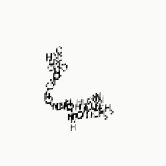 CC1=C(C(=O)Nc2ccc3[nH]nc(-c4ccnc(N5CCN(CC6CCN(CC7CCN(c8ccc9c(c8)C(=O)N(C8CCC(=O)NC8=O)C9=O)CC7)CC6)CC5)c4)c3c2)C(C)(C)n2nnnc2N1C